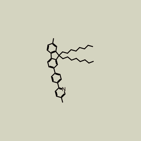 CCCCCCCCC1(CCCCCCCC)c2cc(C)ccc2-c2ccc(-c3ccc(-c4ccc(C)cn4)cc3)cc21